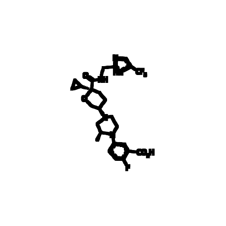 C[C@H]1CN([C@@H]2CC[C@@](C(=O)NCc3ncc(C(F)(F)F)[nH]3)(C3CC3)OC2)CCN1c1ccc(F)c(C(=O)O)c1